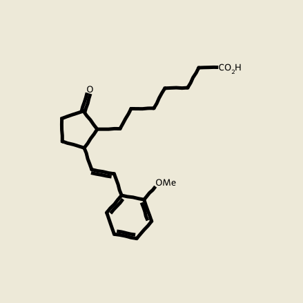 COc1ccccc1/C=C/C1CCC(=O)C1CCCCCCC(=O)O